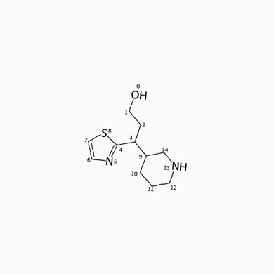 OCCC(c1nccs1)C1CCCNC1